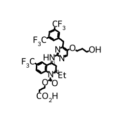 CC[C@@H]1C[C@H](Nc2ncc(OCCCO)c(Cc3cc(C(F)(F)F)cc(C(F)(F)F)c3)n2)c2cc(C(F)(F)F)ccc2N1C(=O)OCCC(=O)O